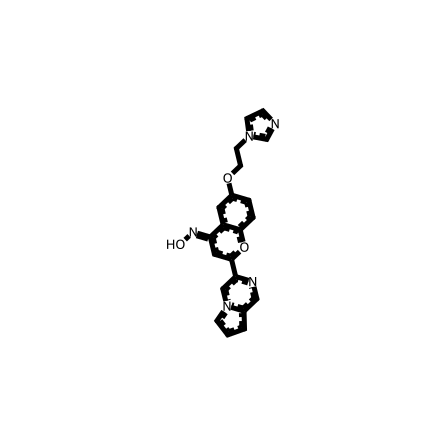 O/N=c1\cc(-c2cn3cccc3cn2)oc2ccc(OCCn3ccnc3)cc12